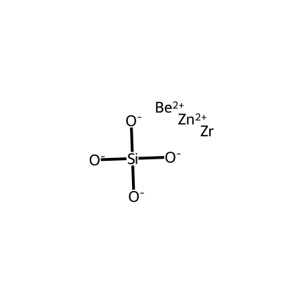 [Be+2].[O-][Si]([O-])([O-])[O-].[Zn+2].[Zr]